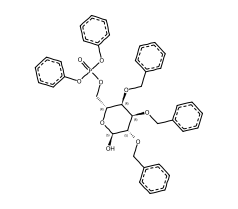 O=P(OC[C@H]1O[C@H](O)[C@@H](OCc2ccccc2)[C@H](OCc2ccccc2)[C@@H]1OCc1ccccc1)(Oc1ccccc1)Oc1ccccc1